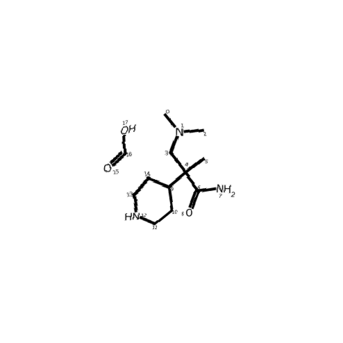 CN(C)CC(C)(C(N)=O)C1CCNCC1.O=CO